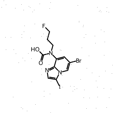 O=C(O)N(CCCF)c1cc(Br)cn2c(I)cnc12